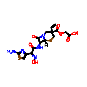 C=CC1(C(=O)OCC(=O)O)CS[C@@H]2C(NC(=O)C(=NO)c3csc(N)n3)C(=O)N2C1